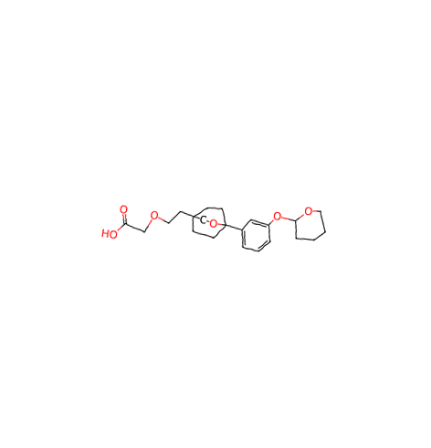 O=C(O)COCCC12CCC(c3cccc(OC4CCCCO4)c3)(CC1)OC2